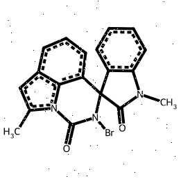 Cc1cc2cccc3c2n1C(=O)N(Br)C31C(=O)N(C)c2ccccc21